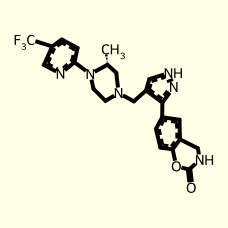 C[C@@H]1CN(Cc2c[nH]nc2-c2ccc3c(c2)CNC(=O)O3)CCN1c1ccc(C(F)(F)F)cn1